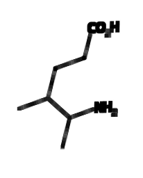 CC(N)C(C)CCC(=O)O